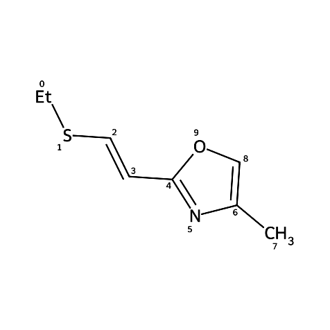 CCSC=Cc1nc(C)co1